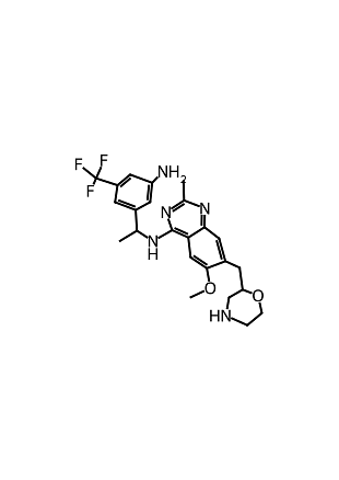 COc1cc2c(NC(C)c3cc(N)cc(C(F)(F)F)c3)nc(C)nc2cc1CC1CNCCO1